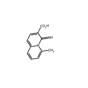 Cc1cccc2ccc(C(=O)O)c(=N)n12